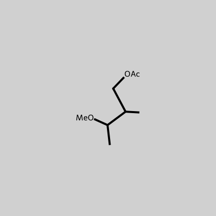 COC(C)C(C)COC(C)=O